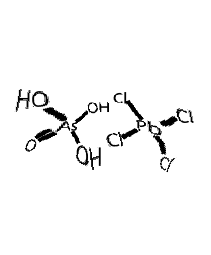 O=[As](O)(O)O.[Cl][Pb]([Cl])([Cl])[Cl]